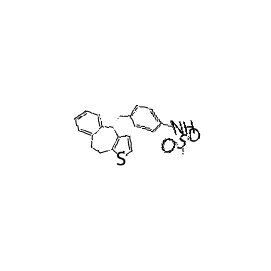 CS(=O)(=O)Nc1ccc(C[C@H]2c3ccccc3CCc3sccc32)cc1